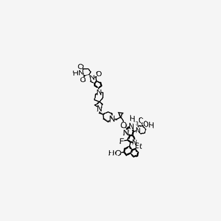 CCc1cccc2cc(O)cc(-c3ncc4c(N5CCC[C@@](C)(O)C5)nc(OCC5(CN6CCC(CN7CC8(CCN(c9ccc%10c(c9)CN(C9CCC(=O)NC9=O)C%10=O)CC8)C7)CC6)CC5)nc4c3F)c12